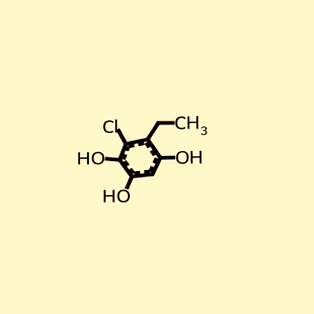 CCc1c(O)cc(O)c(O)c1Cl